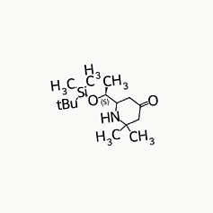 C[C@H](O[Si](C)(C)C(C)(C)C)C1CC(=O)CC(C)(C)N1